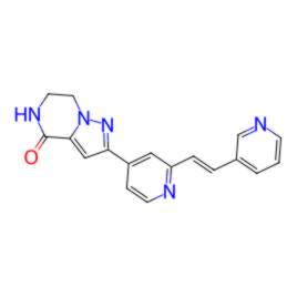 O=C1NCCn2nc(-c3ccnc(/C=C/c4cccnc4)c3)cc21